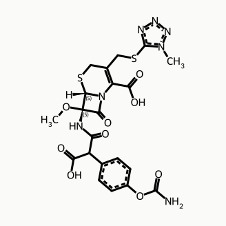 CO[C@@]1(NC(=O)C(C(=O)O)c2ccc(OC(N)=O)cc2)C(=O)N2C(C(=O)O)=C(CSc3nnnn3C)CS[C@H]21